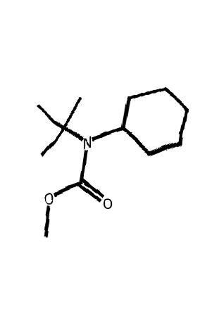 COC(=O)N(C1CCCCC1)C(C)(C)C